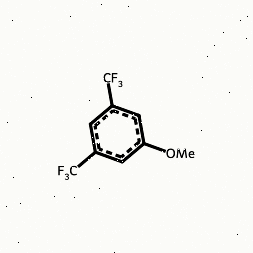 [CH2]Oc1cc(C(F)(F)F)cc(C(F)(F)F)c1